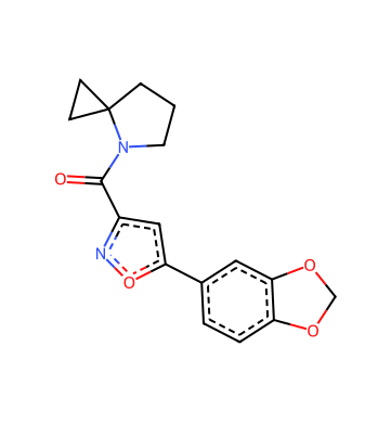 O=C(c1cc(-c2ccc3c(c2)OCO3)on1)N1CCCC12CC2